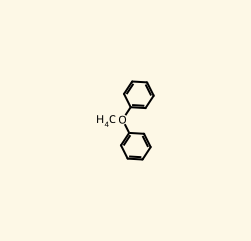 C.c1ccc(Oc2ccccc2)cc1